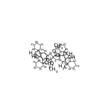 CCOC(=O)C(Cc1cc(C2(C)CCCCC2)c(O)c(C2(C)CCCCC2)c1)(Cc1cc(C2(C)CCCCC2)c(O)c(C2(C)CCCCC2)c1)C(=O)OCC